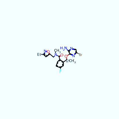 CCc1cc(CN(C)C(=O)c2ccc(F)cc2[C@@H](C)Oc2nc(Br)cnc2N)on1